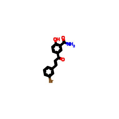 NC(=O)c1cc(C(=O)C=Cc2cccc(Br)c2)ccc1O